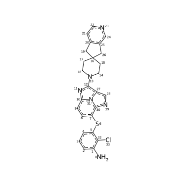 Nc1cccc(Sc2ccc3nc(N4CCC5(CC4)Cc4ccncc4C5)c4cnc2n34)c1Cl